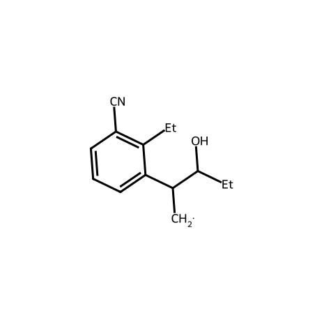 [CH2]C(c1cccc(C#N)c1CC)C(O)CC